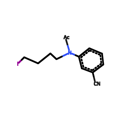 CC(=O)N(CCCCI)c1cccc(C#N)c1